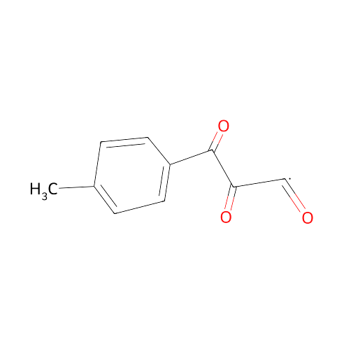 Cc1ccc(C(=O)C(=O)[C]=O)cc1